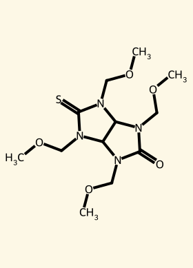 COCN1C(=O)N(COC)C2C1N(COC)C(=S)N2COC